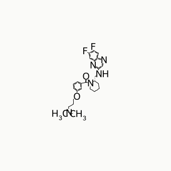 CN(C)CCCOc1cccc(C(=O)N2CCCC[C@H]2CNc2cnc3cc(F)c(F)cc3n2)c1